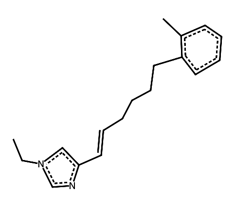 CCn1cnc(C=CCCCCc2ccccc2C)c1